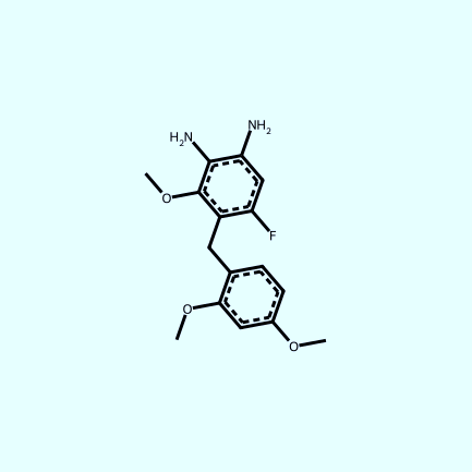 COc1ccc(Cc2c(F)cc(N)c(N)c2OC)c(OC)c1